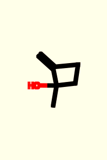 C=C1CCC1(C)O